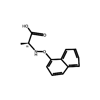 C[C@H](NOc1cccc2ccccc12)C(=O)O